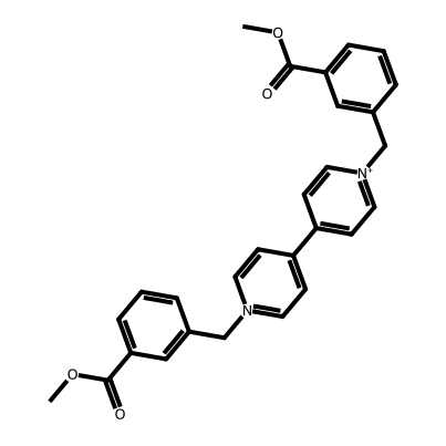 COC(=O)c1cccc(C[n+]2ccc(-c3cc[n+](Cc4cccc(C(=O)OC)c4)cc3)cc2)c1